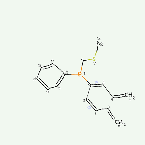 C=C/C=C\C(=C/C=C)P(CSC(C)=O)c1ccccc1